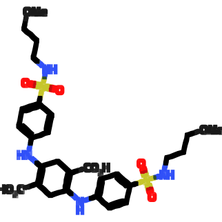 COCCCNS(=O)(=O)c1ccc(NC2=C(C(=O)O)CC(Nc3ccc(S(=O)(=O)NCCCOC)cc3)=C(C(=O)O)C2)cc1